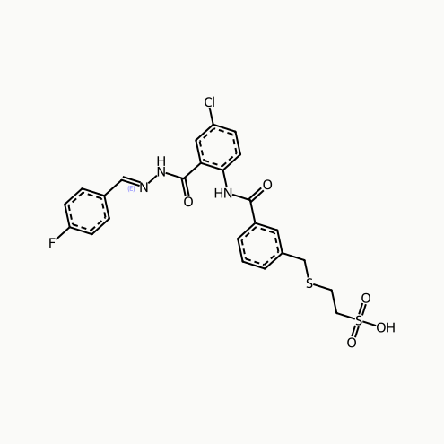 O=C(Nc1ccc(Cl)cc1C(=O)N/N=C/c1ccc(F)cc1)c1cccc(CSCCS(=O)(=O)O)c1